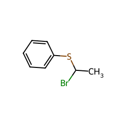 CC(Br)Sc1ccccc1